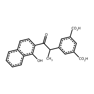 CC(C(=O)c1ccc2ccccc2c1O)c1cc(C(=O)O)cc(C(=O)O)c1